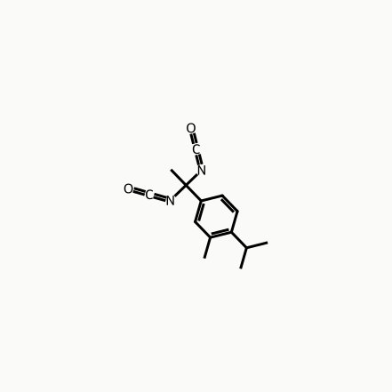 Cc1cc(C(C)(N=C=O)N=C=O)ccc1C(C)C